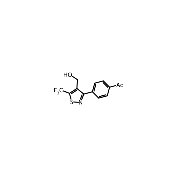 CC(=O)c1ccc(-c2nsc(C(F)(F)F)c2CO)cc1